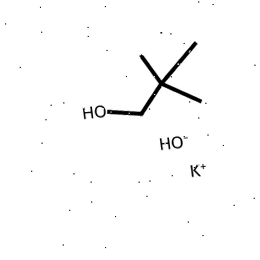 CC(C)(C)CO.[K+].[OH-]